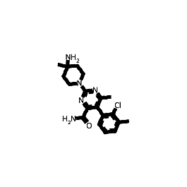 Cc1cccc(-c2c(C)nc(N3CCC(C)(N)CC3)nc2C(N)=O)c1Cl